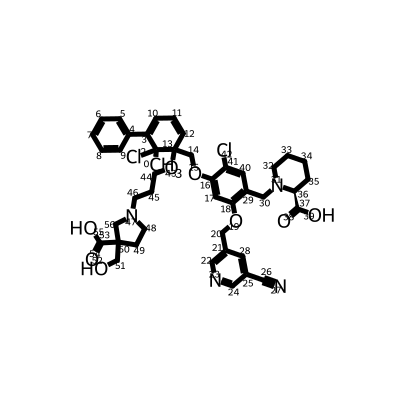 CC1(Cl)C(c2ccccc2)=CC=CC1(COc1cc(OCc2cncc(C#N)c2)c(CN2CCCC[C@H]2C(=O)O)cc1Cl)OCCCN1CCC(CO)(C(=O)O)C1